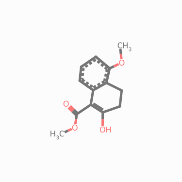 COC(=O)C1=C(O)CCc2c(OC)cccc21